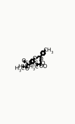 CNC(=O)C(Cc1ccc(OCCC(OCc2oc(=O)oc2C(C)C)c2ccc(C)cc2)cc1)SC=O